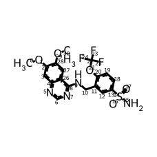 COc1cc2ncnc(NCc3cc(S(N)(=O)=O)ccc3OC(F)(F)F)c2cc1OC